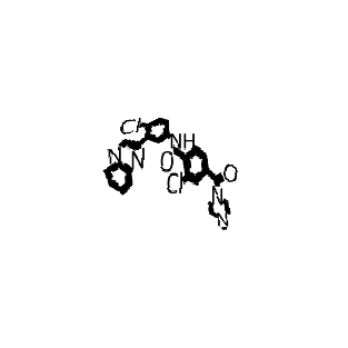 CN1CCN(C(=O)c2ccc(C(=O)Nc3ccc(Cl)c(-c4cnc5ccccc5n4)c3)c(Cl)c2)CC1